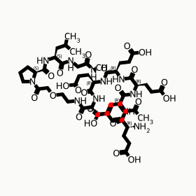 CNC(=O)CNC(=O)[C@H](CC(C)C)NC(=O)[C@@H]1CCCN1C(=O)COCCNC(=O)[C@H](Cc1ccc(C(C)=O)cc1)NC(=O)[C@@H](CCC(=O)O)NC(=O)[C@@H](CCC(=O)O)NC(=O)[C@@H](CCC(=O)O)NC(=O)[C@@H](CCC(=O)O)NC(=O)[C@H](N)CCC(=O)O